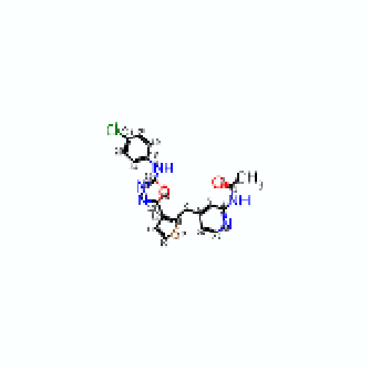 CC(=O)Nc1cc(Cc2sccc2-c2nnc(Nc3ccc(Cl)cc3)o2)ccn1